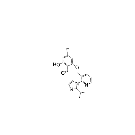 CC(C)c1nccn1-c1ncccc1COc1cc(F)cc(O)c1C=O